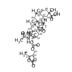 CC(=O)N[C@]1(C)[C@@H](OC(=O)OCc2oc(=O)oc2C)CC[C@@]2(C)[C@H]1CC[C@]1(C)[C@@H]2C(=O)C=C2[C@@H]3C[C@@](C)(C(=O)O)CC[C@]3(C)CC[C@]21C